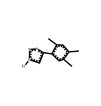 CCn1cc(-c2cc(C)c(C)cc2C)nn1